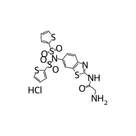 Cl.NCC(=O)Nc1nc2ccc(N(S(=O)(=O)c3cccs3)S(=O)(=O)c3cccs3)cc2s1